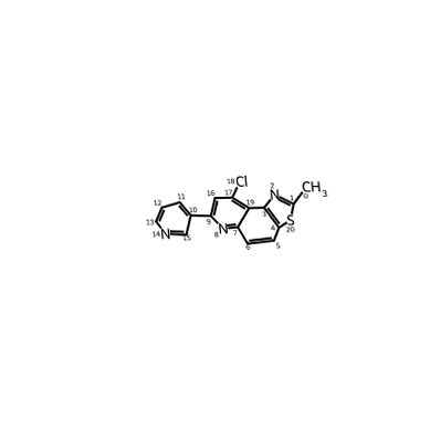 Cc1nc2c(ccc3nc(-c4cccnc4)cc(Cl)c32)s1